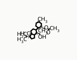 C=C(C)[C@H]1CCC2[C@H](CO)C([C@@]3(C)CC[C@H](C)C[C@@H]3COC(C)=O)CC[C@@]21C